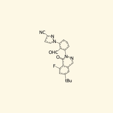 CC(C)(C)c1cc(F)c2c(=O)n(-c3cccc(-n4ccc(C#N)n4)c3C=O)ncc2c1